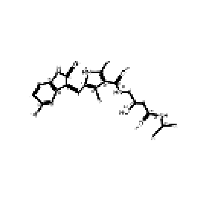 Cc1[nH]c(/C=C2\C(=O)Nc3ccc(F)cc32)c(C)c1C(=O)NCC(O)CC(=O)NC(C)C